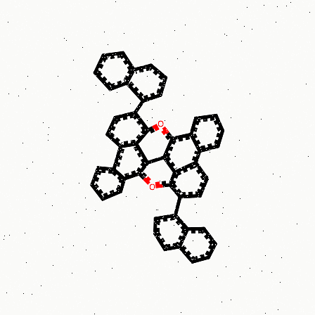 c1ccc2c(-c3ccc4c5ccccc5c5oc6c(-c7cccc8ccccc78)ccc7c8ccccc8c8oc3c4c5-c8c67)cccc2c1